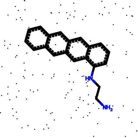 NCCNc1cccc2cc3cc4ccccc4cc3cc12